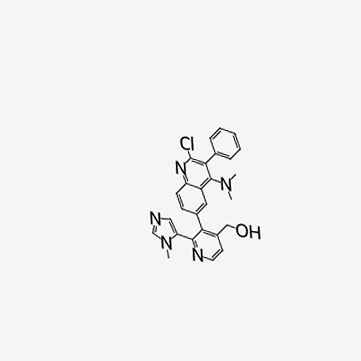 CN(C)c1c(-c2ccccc2)c(Cl)nc2ccc(-c3c(CO)ccnc3-c3cncn3C)cc12